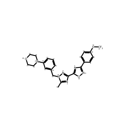 Cc1nc(-c2nc(-c3ccc(OC(F)(F)F)cc3)no2)nn1Cc1cccc(N2CCOCC2)c1